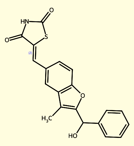 Cc1c(C(O)c2ccccc2)oc2ccc(/C=C3\SC(=O)NC3=O)cc12